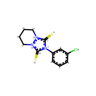 S=c1n(-c2cccc(Cl)c2)c(=S)n2n1CCCC2